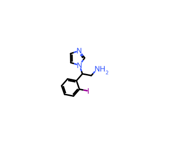 NCC(c1ccccc1I)n1ccnc1